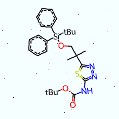 CC(C)(C)OC(=O)Nc1nnc(C(C)(C)CO[Si](c2ccccc2)(c2ccccc2)C(C)(C)C)s1